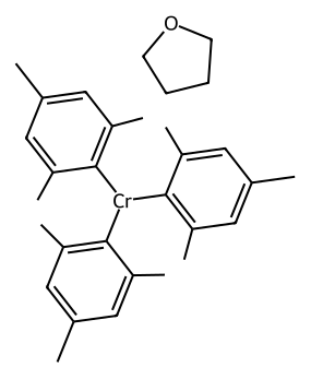 C1CCOC1.Cc1cc(C)[c]([Cr]([c]2c(C)cc(C)cc2C)[c]2c(C)cc(C)cc2C)c(C)c1